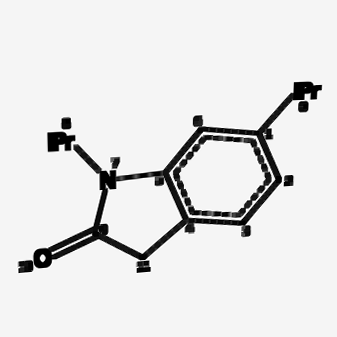 CC(C)c1ccc2c(c1)N(C(C)C)C(=O)C2